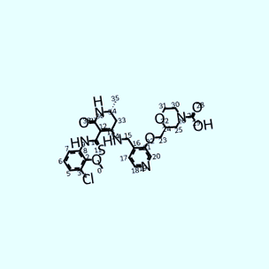 COc1c(Cl)cccc1NC(=S)C1=C(NCc2ccncc2OC[C@@H]2CN(C(=O)O)CCO2)C[C@@H](C)NC1=O